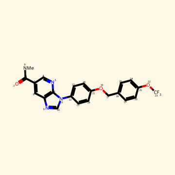 CNC(=O)c1cnc2c(c1)ncn2-c1ccc(OCc2ccc(OC(F)(F)F)cc2)cc1